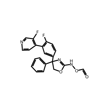 O=CONC1=NC(c2ccccc2)(c2ccc(F)c(-c3ccncc3F)c2)CO1